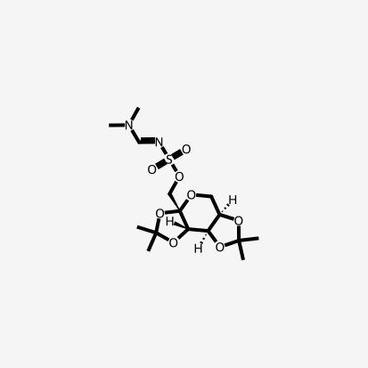 CN(C)C=NS(=O)(=O)OC[C@@]12OC[C@H]3OC(C)(C)O[C@H]3[C@@H]1OC(C)(C)O2